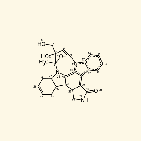 CC12OC(=CC1(O)CO)n1c3c(c4ccccc41)=C1C(=O)NCC1C1C=3N2C2=CC=CCC21